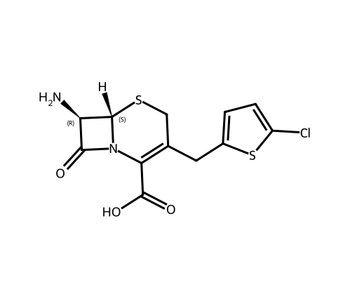 N[C@@H]1C(=O)N2C(C(=O)O)=C(Cc3ccc(Cl)s3)CS[C@@H]12